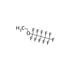 CCOC(F)(F)C(F)(F)C(F)(F)C(F)(F)C(F)(F)F